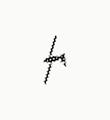 CCCCCCCCCCCCOc1c2cc3sc(-c4sc(C)c5sc(OCC)c(F)c45)cc3cc2c(OCCCCCCCCCCCC)c2sc(C)cc12